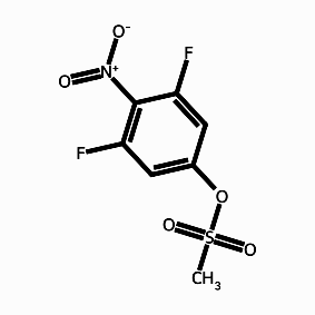 CS(=O)(=O)Oc1cc(F)c([N+](=O)[O-])c(F)c1